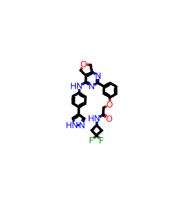 O=C(COc1cccc(-c2nc3c(c(Nc4ccc(-c5cn[nH]c5)cc4)n2)COC3)c1)NC1CC(F)(F)C1